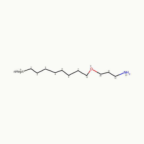 CCCCCCCCCCCCCCCOCCCN